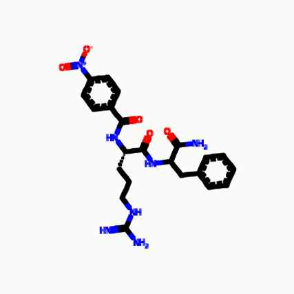 N=C(N)NCCC[C@H](NC(=O)c1ccc([N+](=O)[O-])cc1)C(=O)NC(Cc1ccccc1)C(N)=O